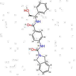 O=C(N[C@@H](CO)c1ccccc1)c1ccc(NC(=O)N2Cc3ccccc3C2)cc1